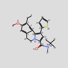 CCc1cc2c(cc1OC)CCn1c(C(=O)N(C)C(C)(C)C)cc(-c3cccs3)c1-2